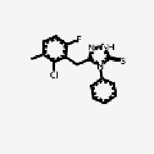 Cc1ccc(F)c(Cc2n[nH]c(=S)n2-c2ccccc2)c1Cl